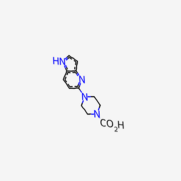 O=C(O)N1CCN(c2ccc3[nH]ccc3n2)CC1